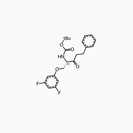 CC(C)(C)OC(=O)N[C@@H](COc1cc(F)cc(F)c1)C(=O)CCc1ccccc1